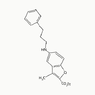 CCOC(=O)c1oc2ccc(NCCCc3ccccc3)cc2c1C